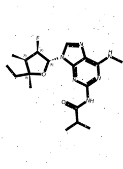 CC[C@@]1(C)O[C@@H](n2cnc3c(NC)nc(NC(=O)C(C)C)nc32)[C@H](F)[C@@H]1C